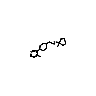 Cc1ccncc1C1CCC(CCNC2(C)CCCC2)CC1